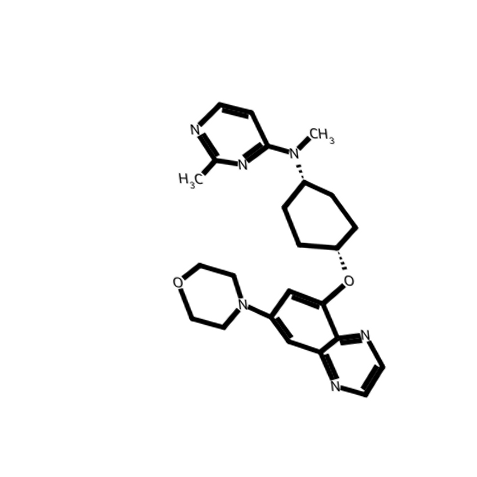 Cc1nccc(N(C)[C@H]2CC[C@@H](Oc3cc(N4CCOCC4)cc4nccnc34)CC2)n1